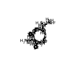 CC(=O)N[C@@H](CCCNC(=N)N)C(=O)N[C@H]1CC(=O)NCCCC[C@@H](C(N)=O)NC(=O)[C@H](Cc2c[nH]c3ccccc23)NC(=O)[C@H](CCCNC(=N)N)NC(=O)C(c2ccccc2)NC(=O)[C@H]2CCCN2C1=O